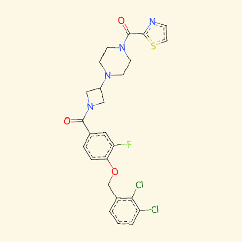 O=C(c1ccc(OCc2cccc(Cl)c2Cl)c(F)c1)N1CC(N2CCN(C(=O)c3nccs3)CC2)C1